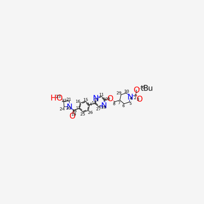 CC(C)(C)OC(=O)N1CCC(COc2cnc(-c3ccc(C(=O)N4CC(O)C4)cc3)cn2)CC1